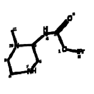 CC(C)OC(=O)NC1CNCCN1C